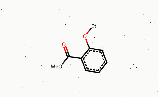 CCOc1[c]cccc1C(=O)OC